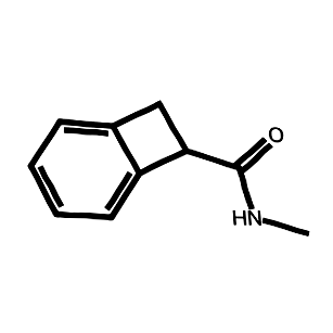 CNC(=O)C1Cc2ccccc21